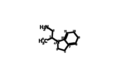 CC(CN)N1CCC2=CCCC=C21